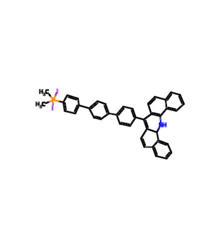 CP(C)(I)(I)c1ccc(-c2ccc(-c3ccc(C4=C5C=Cc6ccccc6C5Nc5c4ccc4ccccc54)cc3)cc2)cc1